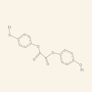 CCOc1ccc(OC(=O)C(=O)Oc2ccc(OCC)cc2)cc1